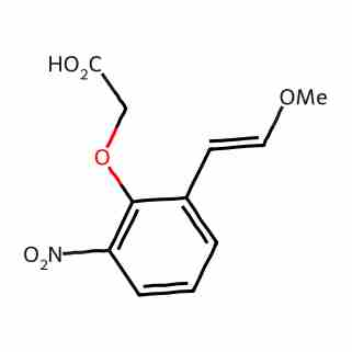 COC=Cc1cccc([N+](=O)[O-])c1OCC(=O)O